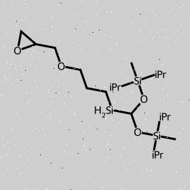 CC(C)[Si](C)(OC(O[Si](C)(C(C)C)C(C)C)[SiH2]CCCOCC1CO1)C(C)C